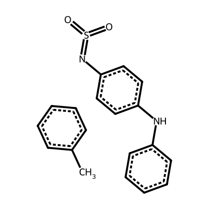 Cc1ccccc1.O=S(=O)=Nc1ccc(Nc2ccccc2)cc1